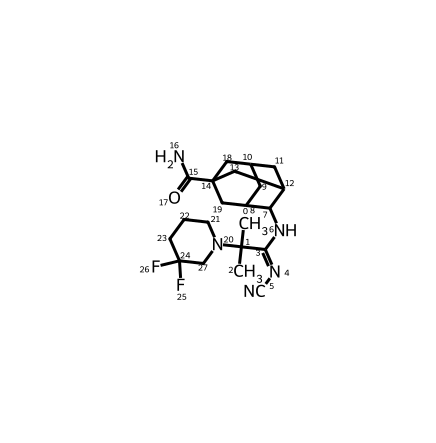 CC(C)(/C(=N\C#N)NC1C2CC3CC1CC(C(N)=O)(C3)C2)N1CCCC(F)(F)C1